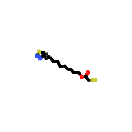 CCCCCCCCC=COC(=O)CS.c1csnn1